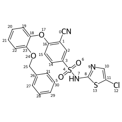 N#Cc1cc(S(=O)(=O)Nc2ncc(Cl)s2)ccc1Oc1ccccc1OCc1ccccc1